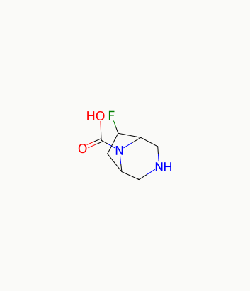 O=C(O)N1C2CNCC1C(F)C2